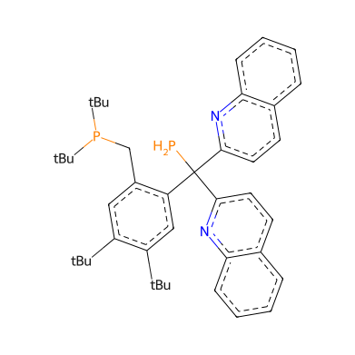 CC(C)(C)c1cc(CP(C(C)(C)C)C(C)(C)C)c(C(P)(c2ccc3ccccc3n2)c2ccc3ccccc3n2)cc1C(C)(C)C